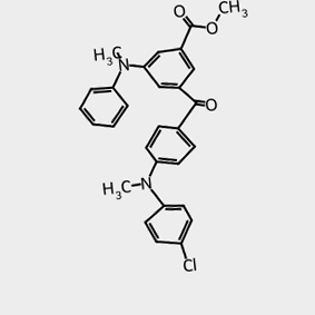 COC(=O)c1cc(C(=O)c2ccc(N(C)c3ccc(Cl)cc3)cc2)cc(N(C)c2ccccc2)c1